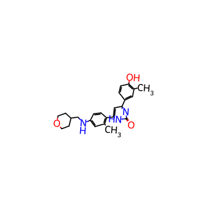 Cc1cc(-c2cc(-c3ccc(NCC4CCOCC4)cc3C)[nH]c(=O)n2)ccc1O